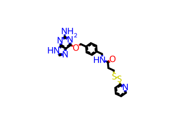 Nc1nc(OCc2ccc(CNC(=O)CCSSc3ccccn3)cc2)c2nc[nH]c2n1